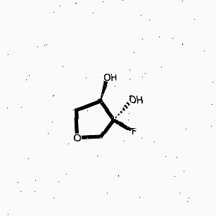 O[C@@H]1[CH]OC[C@]1(O)F